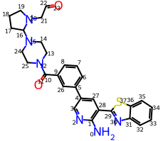 Nc1ncc(-c2cccc(C(=O)N3CCN(C4CCCN4CC=O)CC3)c2)cc1-c1nc2ccccc2s1